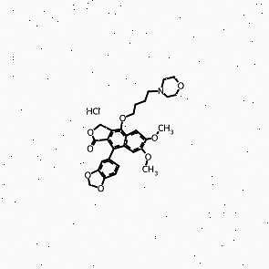 COc1cc2c(OCCCCN3CCOCC3)c3c(c(-c4ccc5c(c4)OCO5)c2cc1OC)C(=O)OC3.Cl